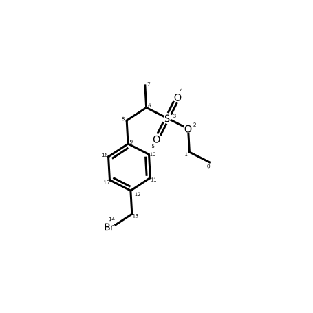 CCOS(=O)(=O)C(C)Cc1ccc(CBr)cc1